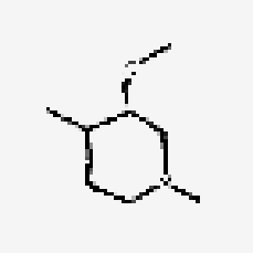 CO[C@H]1CN(C)CCC1C